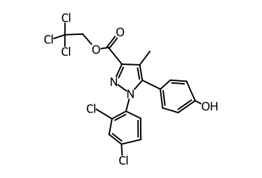 Cc1c(C(=O)OCC(Cl)(Cl)Cl)nn(-c2ccc(Cl)cc2Cl)c1-c1ccc(O)cc1